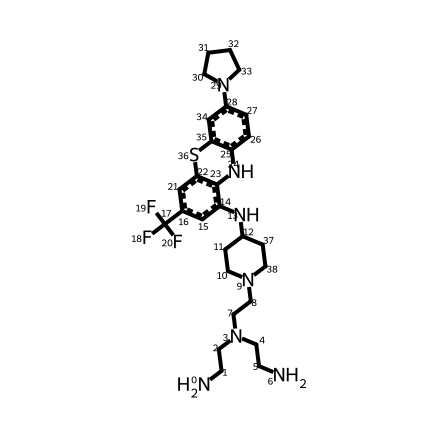 NCCN(CCN)CCN1CCC(Nc2cc(C(F)(F)F)cc3c2Nc2ccc(N4CCCC4)cc2S3)CC1